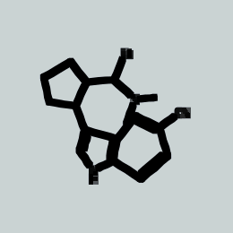 CCC(C1CCCC1c1c[nH]c2ccc(C#N)cc12)N(C)C